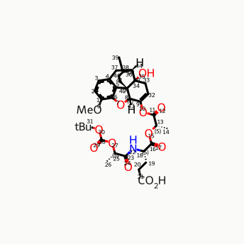 COc1ccc2c3c1O[C@H]1C(OC(=O)[C@H](C)OC(=O)[C@H](CCC(=O)O)NC(=O)[C@H](C)OC(=O)OC(C)(C)C)=CC[C@@]4(O)[C@@H](C2)C(C)CC[C@]314